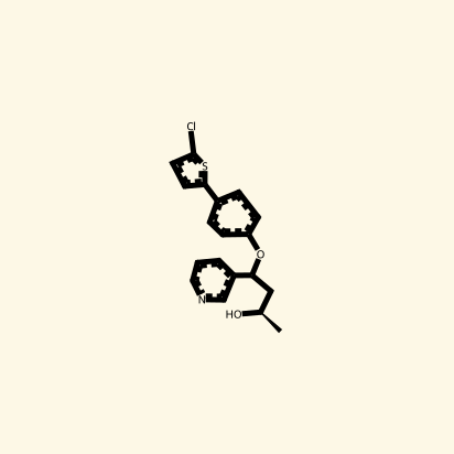 C[C@@H](O)CC(Oc1ccc(-c2ccc(Cl)s2)cc1)c1cccnc1